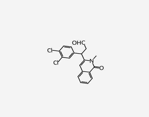 Cn1c(C(CC=O)c2ccc(Cl)c(Cl)c2)cc2ccccc2c1=O